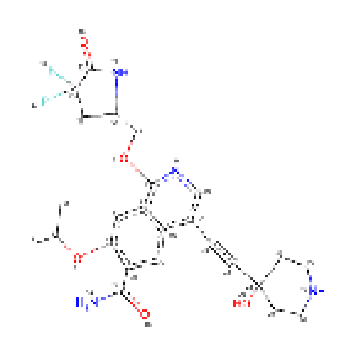 CC(C)Oc1cc2c(OC[C@@H]3CC(F)(F)C(=O)N3)ncc(C#CC3(O)CCNCC3)c2cc1C(N)=O